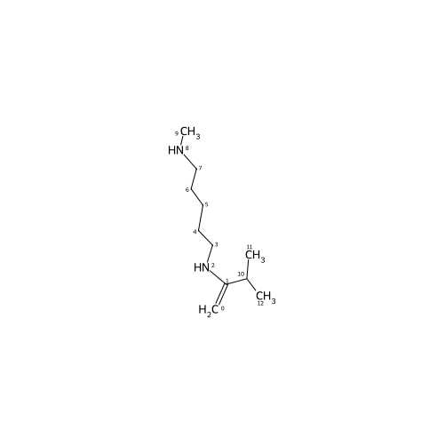 C=C(NCCCCCNC)C(C)C